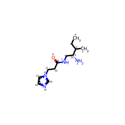 CCC(C)[C@H](N)CNC(=O)CCn1ccnc1